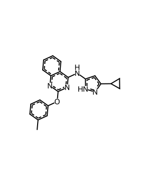 Cc1cccc(Oc2nc(Nc3cc(C4CC4)n[nH]3)c3ccccc3n2)c1